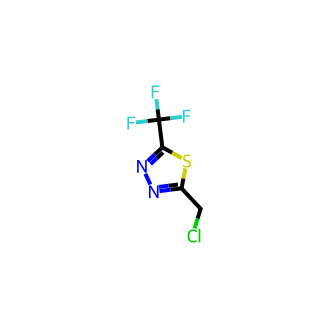 FC(F)(F)c1nnc(CCl)s1